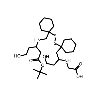 CC(C)(C)OC(=O)CC(CCO)NCC1(SSC2(CC(CCO)NCC(=O)O)CCCCC2)CCCCC1